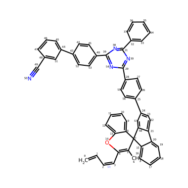 C=C/C=C\C1=C(C)C2(c3ccccc3O1)c1ccccc1-c1ccc(-c3ccc(-c4nc(-c5ccccc5)nc(-c5ccc(-c6cccc(C#N)c6)cc5)n4)cc3)cc12